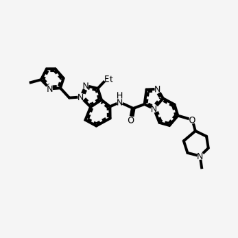 CCc1nn(Cc2cccc(C)n2)c2cccc(NC(=O)c3cnc4cc(OC5CCN(C)CC5)ccn34)c12